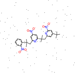 CC(C)(C)c1cc(CC(C)(C)c2cc([N+](=O)[O-])cc(CC(C)(C)c3ccccc3[N+](=O)[O-])n2)nc([N+](=O)[O-])c1